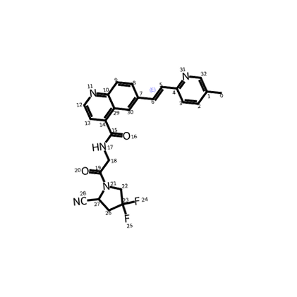 Cc1ccc(/C=C/c2ccc3nccc(C(=O)NCC(=O)N4CC(F)(F)CC4C#N)c3c2)nc1